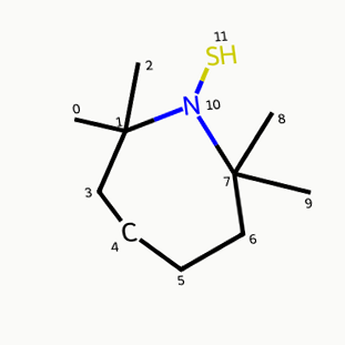 CC1(C)CCCCC(C)(C)N1S